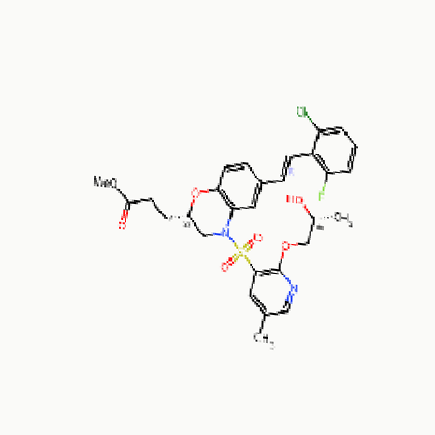 COC(=O)CC[C@H]1CN(S(=O)(=O)c2cc(C)cnc2OC[C@@H](C)O)c2cc(/C=C/c3c(F)cccc3Cl)ccc2O1